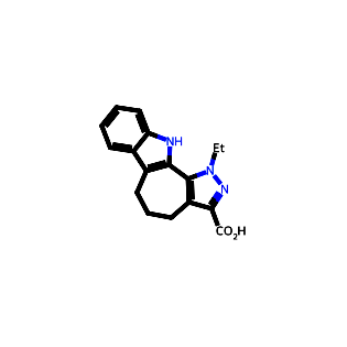 CCn1nc(C(=O)O)c2c1-c1[nH]c3ccccc3c1CCC2